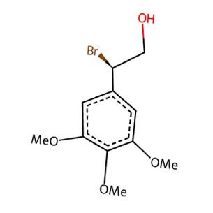 COc1cc([C@@H](Br)CO)cc(OC)c1OC